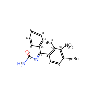 CCCCc1ccc(C(=NC(N)=O)c2ccccc2)c(CCCC)c1[N+](=O)[O-]